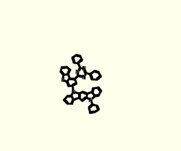 c1ccc(-c2nc(-c3ccccc3)nc(-c3cc(-n4c5ccccc5c5cc6c(cc54)c4ccccc4n6-c4ccccc4)cc4sc5ccccc5c34)n2)cc1